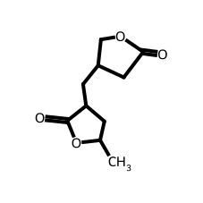 CC1CC(CC2COC(=O)C2)C(=O)O1